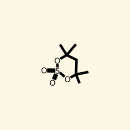 CC1(C)CC(C)(C)OS(=O)(=O)O1